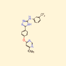 COc1cc(Oc2ccc(-c3nnc(Nc4cccc(C(F)(F)F)c4)[nH]3)cc2)ncn1